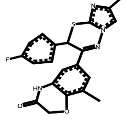 Cc1cn2c(n1)SC(c1ccc(F)cc1)C(c1cc(C)c3c(c1)NC(=O)CO3)=N2